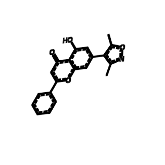 Cc1noc(C)c1-c1cc(O)c2c(=O)cc(-c3ccccc3)oc2c1